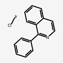 [Cl][Ir].c1ccc(-c2nccc3ccccc23)cc1